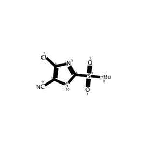 CCCCS(=O)(=O)c1nc(Cl)c(C#N)s1